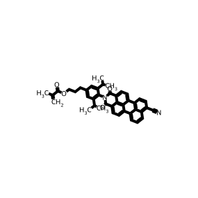 C=C(C)C(=O)OCCCc1cc(C(C)C)c(N2C(=O)c3ccc4c5cccc6c(C#N)ccc(c7ccc(c3c47)C2=O)c65)c(C(C)C)c1